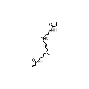 C=CC(=O)NCCCN(C)C/C=C/C[N+](C)(C)CCCNC(=O)C=C